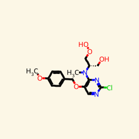 COc1ccc(COc2cnc(Cl)nc2N(C)[C@@H](CO)COO)cc1